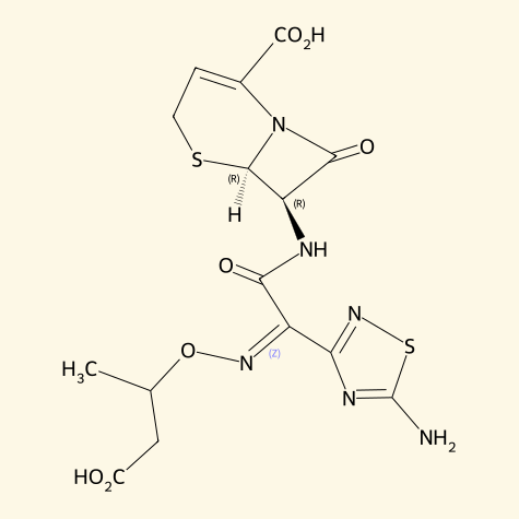 CC(CC(=O)O)O/N=C(\C(=O)N[C@@H]1C(=O)N2C(C(=O)O)=CCS[C@H]12)c1nsc(N)n1